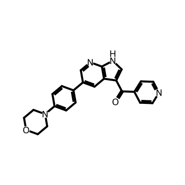 O=C(c1ccncc1)c1c[nH]c2ncc(-c3ccc(N4CCOCC4)cc3)cc12